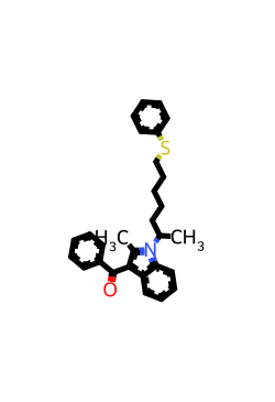 Cc1c(C(=O)c2ccccc2)c2ccccc2n1C(C)CCCCCSc1ccccc1